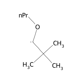 CCCO[CH]C(C)(C)C